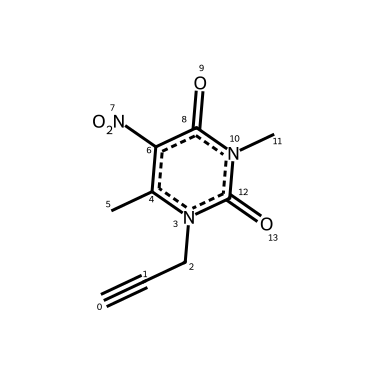 C#CCn1c(C)c([N+](=O)[O-])c(=O)n(C)c1=O